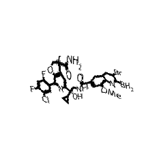 Bc1nc2c(OC)cc(C(=O)NC[C@](O)(c3cc4c(c(-c5cc(Cl)c(F)cc5F)n3)OC[C@]4(C)C(N)=O)C3CC3)cc2cc1Br